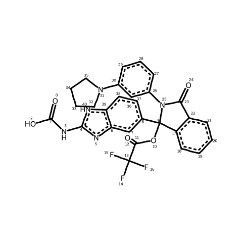 O=C(O)Nc1nc2cc(C3(OC(=O)C(F)(F)F)c4ccccc4C(=O)N3c3cccc(N4CCCC4)c3)ccc2[nH]1